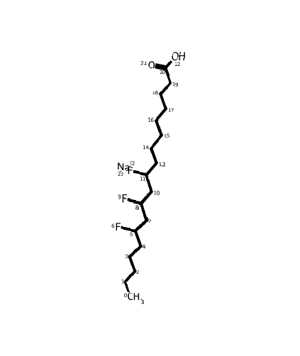 CCCCCC(F)CC(F)CC(F)CCCCCCCC(=O)O.[Na]